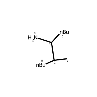 CCCCC(C)C(N)CCCC